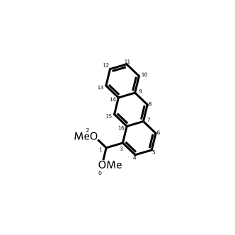 COC(OC)c1cccc2cc3ccccc3cc12